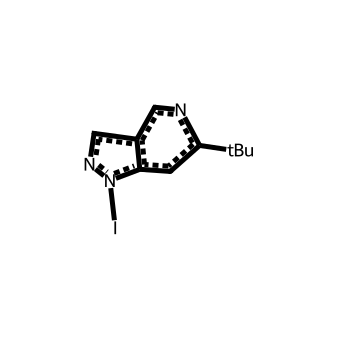 CC(C)(C)c1cc2c(cn1)cnn2I